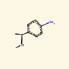 C[Te]C(C)c1ccc(N)cc1